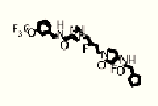 O=C(CC1CCCC1)Nc1ccn(CCC(F)Cn2cc(C(=O)NCc3cccc(OC(F)(F)F)c3)nn2)c(=O)c1F